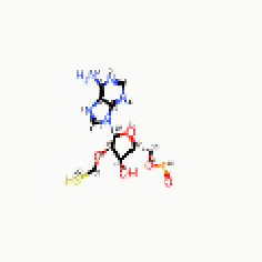 Nc1ncnc2c1ncn2[C@@H]1O[C@H](COP=O)[C@@H](O)[C@H]1OCS